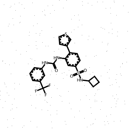 O=C(Nc1cccc(C(F)(F)F)c1)Nc1cc(S(=O)(=O)NC2CCC2)ccc1-c1ccsc1